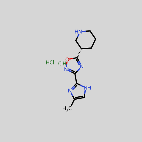 Cc1c[nH]c(-c2noc([C@H]3CCCNC3)n2)n1.Cl.Cl